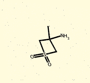 [CH2]C1(N)CS(=O)(=O)C1